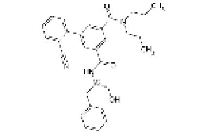 CCCN(CCC)C(=O)c1cc(C(=O)N[C@H](CO)Cc2ccccc2)cc(-c2ccccc2C#N)c1